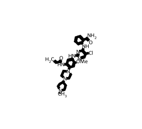 C=CC(=O)Nc1cc(Nc2ncc(Cl)c(Nc3ccccc3C(N)=O)n2)c(OC)cc1N1CCN(C2CCN(C)CC2)CC1